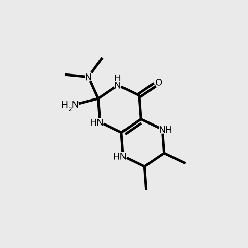 CC1NC2=C(NC1C)C(=O)NC(N)(N(C)C)N2